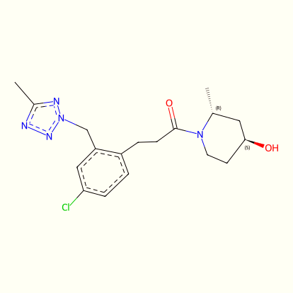 Cc1nnn(Cc2cc(Cl)ccc2CCC(=O)N2CC[C@H](O)C[C@H]2C)n1